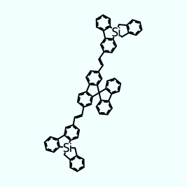 C(=C\c1ccc2c(c1)C1(c3ccccc3-c3ccccc31)c1cc(/C=C/c3ccc4c(c3)-c3ccccc3[Si]43Cc4ccccc4C3)ccc1-2)/c1ccc2c(c1)-c1ccccc1[Si]21Cc2ccccc2C1